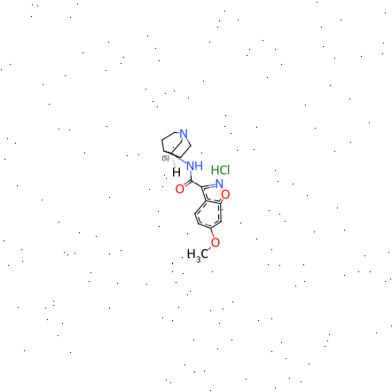 COc1ccc2c(C(=O)N[C@@H]3CN4CCC3CC4)noc2c1.Cl